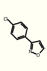 Clc1ccc(-c2c[c]on2)cc1